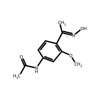 COc1cc(NC(C)=O)ccc1/C(C)=N/O